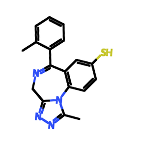 Cc1ccccc1C1=NCc2nnc(C)n2-c2ccc(S)cc21